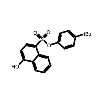 CC(C)(C)c1ccc(OS(=O)(=O)c2ccc(O)c3ccccc23)cc1